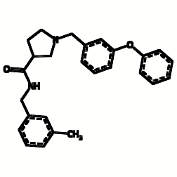 Cc1cccc(CNC(=O)C2CCN(Cc3cccc(Oc4ccccc4)c3)C2)c1